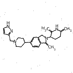 C=C1CCC(N2Cc3cc(C4CCN(Cc5cc[nH]n5)CC4)ccc3C2=C)C(=C)N1